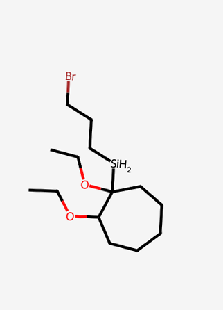 CCOC1CCCCCC1(OCC)[SiH2]CCCBr